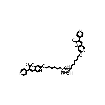 O=c1oc2cc(OCCCCCC[SiH](O)O[SiH](O)CCCCCCOc3cc4oc(=O)c(-c5ccncc5)cc4cn3)ncc2cc1-c1ccncc1